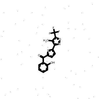 Cc1c(-c2ccc(C(=O)c3ccccc3O)s2)noc1C(F)(F)F